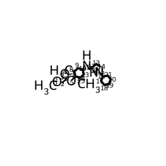 COCC(=O)Oc1c(C)cc(Nc2ccn(-c3ccccc3)n2)cc1C